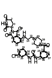 O=C1CCC(N2C(=O)c3cccc(NCCN4CCN(C(=O)c5cc(NC(=O)Nc6ccnc(Cl)c6)ccn5)CC4)c3C2=O)C(=O)N1